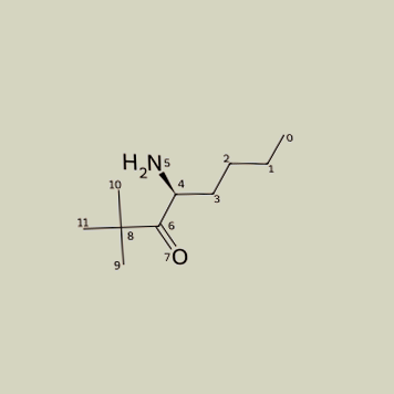 CCCC[C@H](N)C(=O)C(C)(C)C